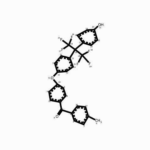 Cc1ccc(C(=O)c2ccc(Oc3ccc(C(c4ccc(O)cc4)(C(F)(F)F)C(F)(F)F)cc3)cc2)cc1